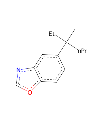 CCCC(C)(CC)c1ccc2ocnc2c1